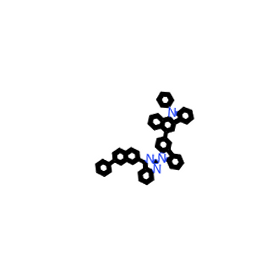 c1ccc(-c2ccc3ccc(-c4nc(-n5c6ccccc6c6cc(-c7cc8c9ccccc9n(-c9ccccc9)c8c8ccccc78)ccc65)nc5ccccc45)cc3c2)cc1